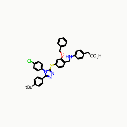 CC(C)(C)c1ccc(-c2nnc(Sc3ccc(CNc4ccc(CC(=O)O)cc4)c(OCc4ccccc4)c3)n2-c2ccc(Cl)cc2)cc1